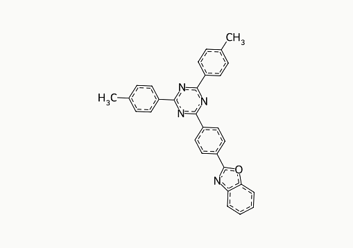 Cc1ccc(-c2nc(-c3ccc(C)cc3)nc(-c3ccc(-c4nc5ccccc5o4)cc3)n2)cc1